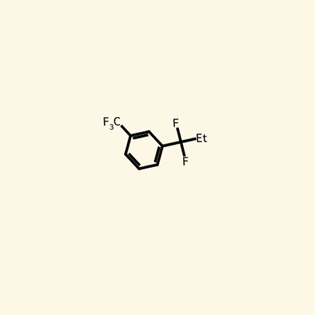 CCC(F)(F)c1cccc(C(F)(F)F)c1